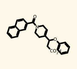 O=C(O)CC(Oc1ccccc1)C1=CCN(C(=O)c2ccc3ccccc3c2)CC1